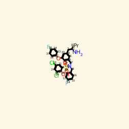 CC(C)C(N)Cc1cc(CN(Cc2ccc(F)cc2)S(=O)(=O)c2cc(Cl)cc(Cl)c2O)cc(Oc2ccc(F)cc2)c1